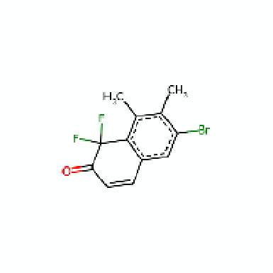 Cc1c(Br)cc2c(c1C)C(F)(F)C(=O)C=C2